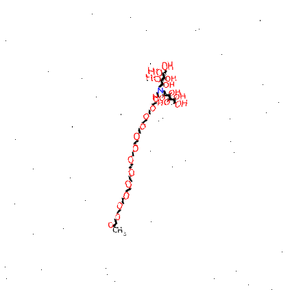 CC(=O)CCOCCOCCOCCOCCOCCOCCOCCOCCOCCOCCOCCOCCN(C[C@@H](O)[C@@H](O)[C@H](O)[C@H](O)CO)C[C@@H](O)[C@@H](O)[C@H](O)[C@H](O)CO